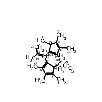 CC1=C(C)C(C)[C]([Hf+2]([C]2=C(C)C(C)=C(C)C2C)=[C](C)C)=C1C.[Cl-].[Cl-]